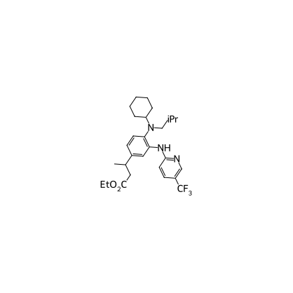 CCOC(=O)CC(C)c1ccc(N(CC(C)C)C2CCCCC2)c(Nc2ccc(C(F)(F)F)cn2)c1